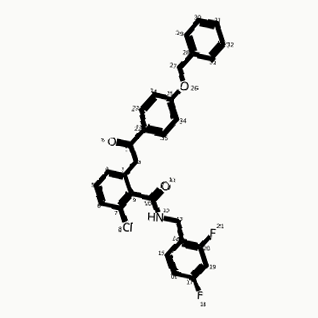 O=C(Cc1cccc(Cl)c1C(=O)NCc1ccc(F)cc1F)c1ccc(OCc2ccccc2)cc1